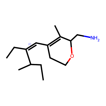 CC/C(=C/C1=C(C)C(CN)OCC1)C(C)CC